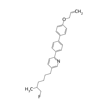 C=CCOc1ccc(-c2ccc(-c3ccc(CCCCC(C)CF)cn3)cc2)cc1